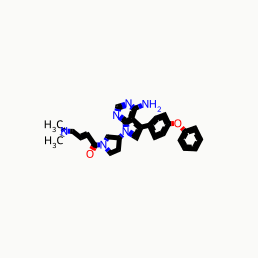 CN(C)C/C=C/C(=O)N1CCC(n2cc(-c3ccc(Oc4ccccc4)cc3)c3c(N)ncnc32)C1